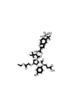 CCOC(=O)CO[C@@H]1C[C@@H](C(=O)N(CCC(=O)O)c2ccc(Br)cc2)N(C(=O)[C@@H](NC(=O)c2cc3cc(C(F)(F)P(=O)(O)O)ccc3s2)C(C)(C)C)C1